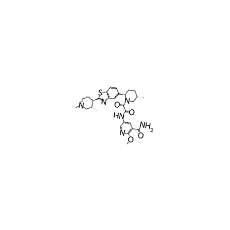 COc1ncc(NC(=O)C(=O)N2C[C@@H](C)CC[C@@H]2c2ccc3sc([C@@H]4CCN(C)C[C@H]4C)nc3c2)cc1C(N)=O